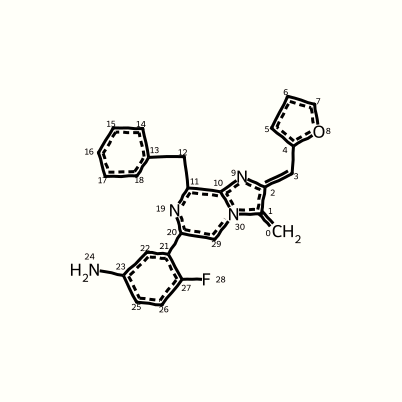 C=c1/c(=C/c2ccco2)nc2c(Cc3ccccc3)nc(-c3cc(N)ccc3F)cn12